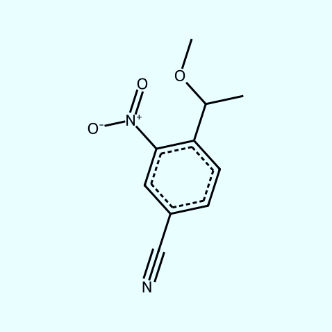 COC(C)c1ccc(C#N)cc1[N+](=O)[O-]